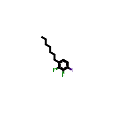 CCCCCCCc1ccc(I)c(F)c1F